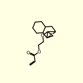 C=CC(=O)OCCOC12CC13CC2CC1CCCCC13